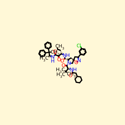 CCC[C@H](NC(=O)[C@@H]1C[C@]2(CC(c3cccc(Cl)c3)=NO2)CN1C(=O)[C@@H](NC(=O)CC1CCCCC1)C(C)(C)C)C(=O)C(=O)N[C@@H](C)C(C)(c1ccccc1)c1ccccc1